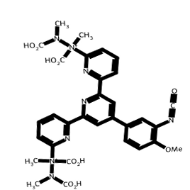 COc1ccc(-c2cc(-c3cccc([N+](C)(C(=O)O)N(C)C(=O)O)n3)nc(-c3cccc([N+](C)(C(=O)O)N(C)C(=O)O)n3)c2)cc1N=C=O